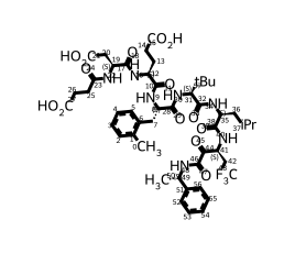 Cc1ccccc1C[C@H](NC(=O)[C@H](CCC(=O)O)NC(=O)[C@H](CC(=O)O)NC(=O)CCC(=O)O)C(=O)N[C@H](C(=O)N[C@@H](CC(C)C)C(=O)N[C@@H](CC(F)(F)F)C(=O)C(=O)N[C@@H](C)c1ccccc1)C(C)(C)C